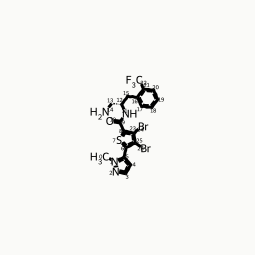 Cn1nccc1-c1sc(C(=O)N[C@H](CN)Cc2ccccc2C(F)(F)F)c(Br)c1Br